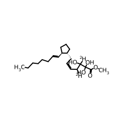 [2H]C(/C=C\C[C@H]1CCC[C@@H]1/C=C/CCCCCC)C([2H])(O)C(O)(O)C(=O)OC